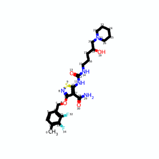 Cc1ccc(COc2nsc(NC(=O)NCCCC(O)CN3CCCCC3)c2C(N)=O)c(F)c1F